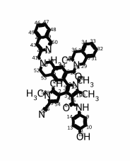 Cc1c(-c2c(C(=O)Nc3ccc(O)cc3)c(C)n(C)c2-c2cc3c(cc2C(=O)N2Cc4ccccc4C[C@H]2C)CN(Cc2cc4ccccc4cn2)CC3)cc(C#N)n1C